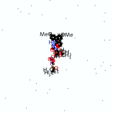 CCC(C)(C)C(=O)SCCO[PH](=O)OC[C@H]1O[C@@H](n2ccc(NC(c3ccccc3)(c3ccc(OC)cc3)c3ccc(OC)cc3)nc2=O)C2(C)OC(C)(C)O[C@@H]12